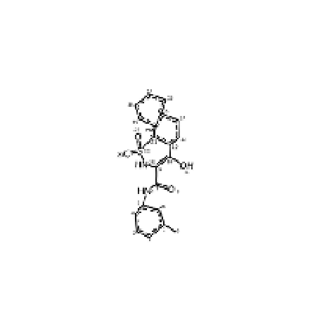 Cc1cccc(NC(=O)C2=C(O)c3ccc4ccccc4c3S(=O)(=O)N2)c1